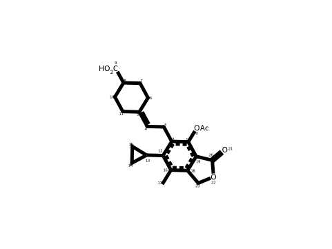 CC(=O)Oc1c(CC=C2CCC(C(=O)O)CC2)c(C2CC2)c(C)c2c1C(=O)OC2